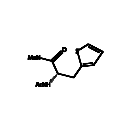 CNC(=O)[C@H](Cc1cccs1)NC(C)=O